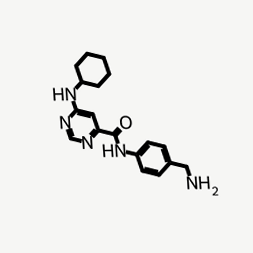 NCc1ccc(NC(=O)c2cc(NC3CCCCC3)ncn2)cc1